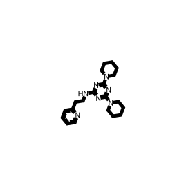 c1ccc(CCNc2nc(N3CCCCC3)nc(N3CCCCC3)n2)nc1